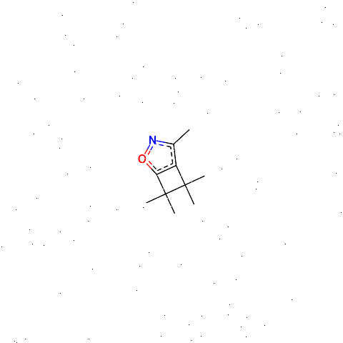 Cc1noc2c1C(C)(C)C2(C)C